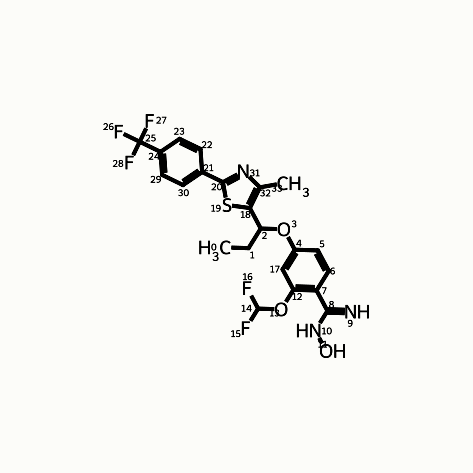 CCC(Oc1ccc(C(=N)NO)c(OC(F)F)c1)c1sc(-c2ccc(C(F)(F)F)cc2)nc1C